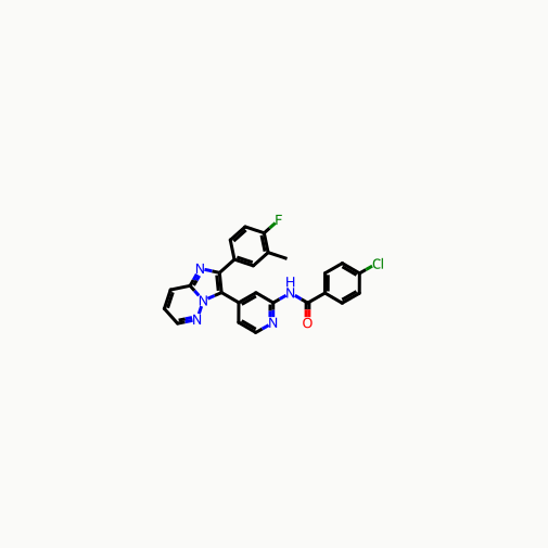 Cc1cc(-c2nc3cccnn3c2-c2ccnc(NC(=O)c3ccc(Cl)cc3)c2)ccc1F